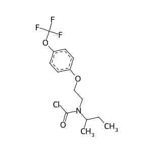 CCC(C)N(CCOc1ccc(OC(F)(F)F)cc1)C(=O)Cl